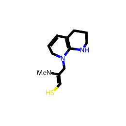 CN/C(=C\S)CN1CC=CC2=C1NCCC2